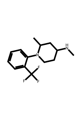 CNC1CCN(c2ccccc2C(F)(F)F)C(C)C1